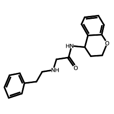 O=C(CNCCc1ccccc1)NC1CCOc2ccccc21